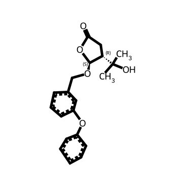 CC(C)(O)[C@H]1CC(=O)O[C@@H]1OCc1cccc(Oc2ccccc2)c1